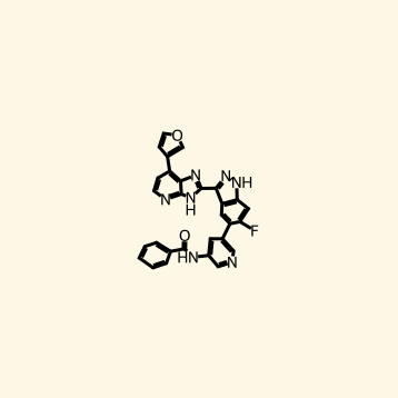 O=C(Nc1cncc(-c2cc3c(-c4nc5c(-c6ccoc6)ccnc5[nH]4)n[nH]c3cc2F)c1)c1ccccc1